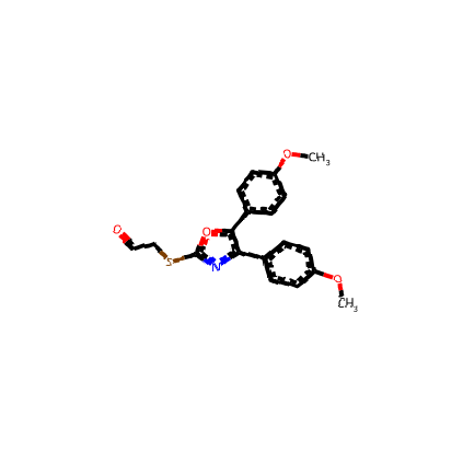 COc1ccc(-c2nc(SCC=O)oc2-c2ccc(OC)cc2)cc1